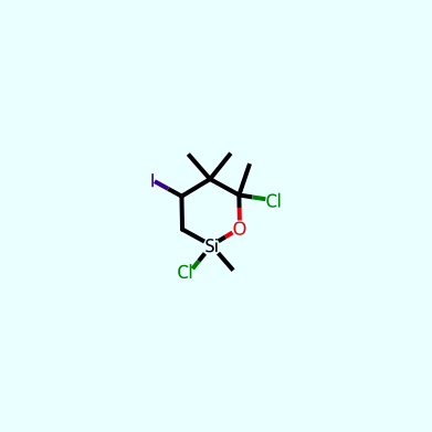 CC1(Cl)O[Si](C)(Cl)CC(I)C1(C)C